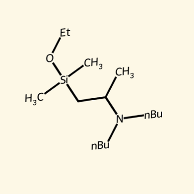 CCCCN(CCCC)C(C)C[Si](C)(C)OCC